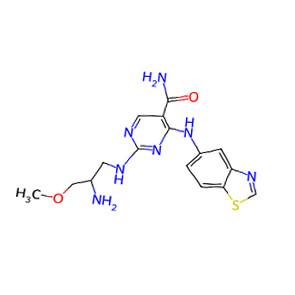 COCC(N)CNc1ncc(C(N)=O)c(Nc2ccc3scnc3c2)n1